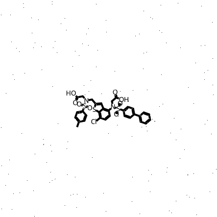 Cc1ccc(S(=O)(=O)N(CC(=O)O)Cc2cc3c(N(CC(=O)O)S(=O)(=O)c4ccc(-c5ccccc5)cc4)ccc(Cl)c3s2)cc1